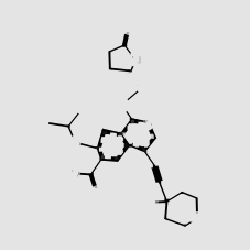 CC(C)Oc1cc2c(OC[C@@H]3CCC(=O)N3)ncc(C#CC3(O)CCOCC3)c2cc1C(N)=O